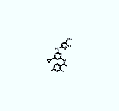 CC(Nc1nc(Nc2cc(C(C)(C)C)[nH]n2)nc(C2CC2)n1)c1ccc(F)cc1F